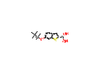 CC(C)(C)[Si](C)(C)Oc1ccc2cc(B(O)O)sc2c1